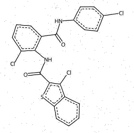 O=C(Nc1ccc(Cl)cc1)c1cccc(Cl)c1NC(=O)c1sc2ccccc2c1Cl